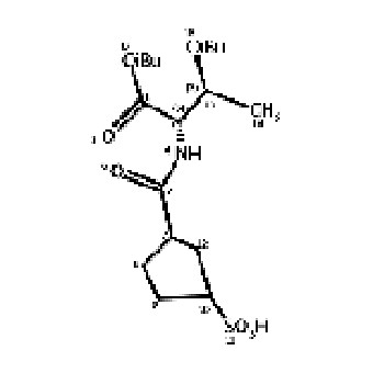 CC(C)COC(=O)[C@@H](NC(=O)C1CCC(S(=O)(=O)O)C1)[C@H](C)OCC(C)C